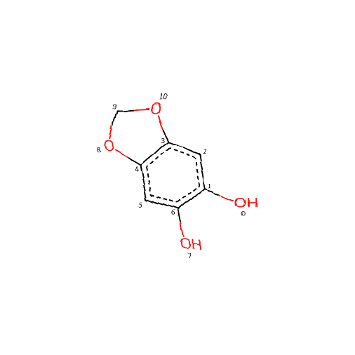 Oc1cc2c(cc1O)OCO2